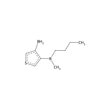 Bc1cscc1B(C)CCCC